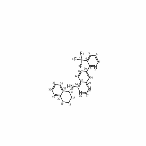 FC(F)(F)c1cccnc1-c1ccc2c(N[C@@H]3CCCc4ccccc43)ncnc2c1